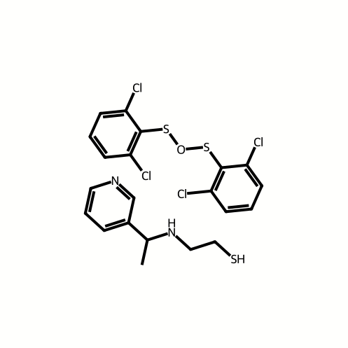 CC(NCCS)c1cccnc1.Clc1cccc(Cl)c1SOSc1c(Cl)cccc1Cl